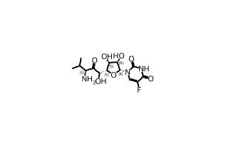 CC(C)[C@H](N)C(=O)C(O)[C@H]1O[C@@H](n2cc(F)c(=O)[nH]c2=O)[C@H](O)[C@@H]1O